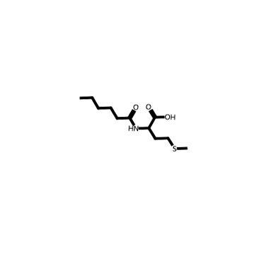 CCCCCC(=O)NC(CCSC)C(=O)O